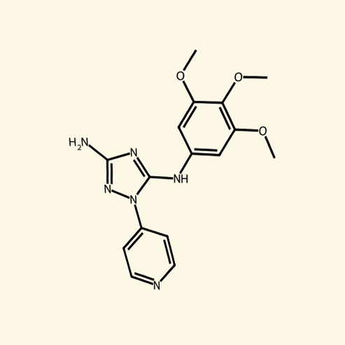 COc1cc(Nc2nc(N)nn2-c2ccncc2)cc(OC)c1OC